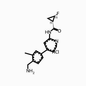 Cc1cc(-c2ccnc(NC(=O)[C@@H]3C[C@@H]3F)c2)ccc1CN.Cl